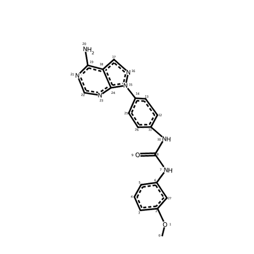 COc1cccc(NC(=O)Nc2ccc(-n3ncc4c(N)ncnc43)cc2)c1